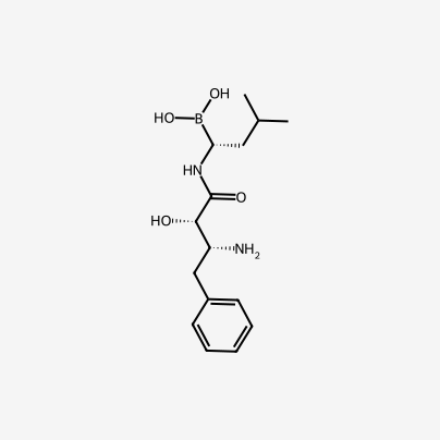 CC(C)C[C@H](NC(=O)[C@@H](O)[C@H](N)Cc1ccccc1)B(O)O